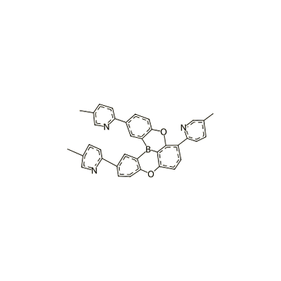 Cc1ccc(-c2ccc3c(c2)B2c4cc(-c5ccc(C)cn5)ccc4Oc4c(-c5ccc(C)cn5)ccc(c42)O3)nc1